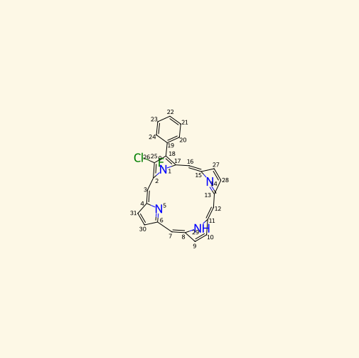 Fn1c2cc3nc(cc4ccc(cc5nc(cc1c(-c1ccccc1)c2Cl)C=C5)[nH]4)C=C3